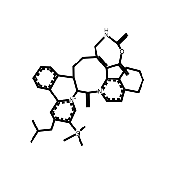 C=C1NCC2=C(C(=C)O1)c1c3c(cc[n+]1C(=C)C1C(CC2)c2ccccc2-c2cc(CC(C)C)c([Si](C)(C)C)c[n+]21)CCCC3